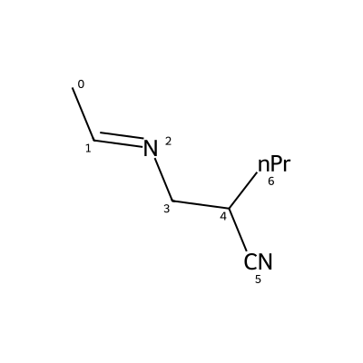 CC=NCC(C#N)CCC